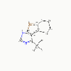 CC(C)(C)c1ncnc2sc3c(c12)CCCC3